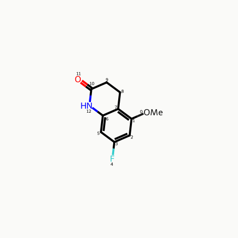 COc1cc(F)cc2c1CCC(=O)N2